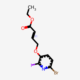 CCOC(=O)/C=C/COc1ccc(Br)nc1I